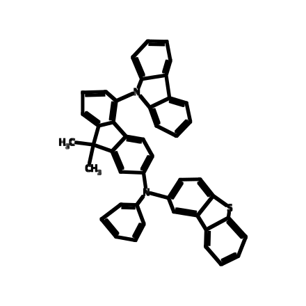 CC1(C)c2cc(N(c3ccccc3)c3ccc4sc5ccccc5c4c3)ccc2-c2c(-n3c4ccccc4c4ccccc43)cccc21